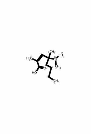 [CH2]C(C=C(C)C(=O)O)(CCCC)N(C)C